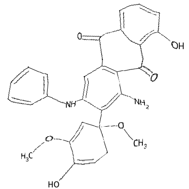 COC1=CC(OC)(c2c(Nc3ccccc3)cc3c(c2N)C(=O)c2c(O)cccc2C3=O)CC=C1O